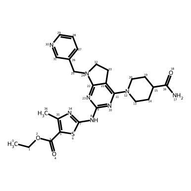 CCOC(=O)c1sc(Nc2nc(N3CCC(C(N)=O)CC3)c3c(n2)N(Cc2cccnc2)CC3)nc1C